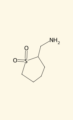 NCC1CCCCS1(=O)=O